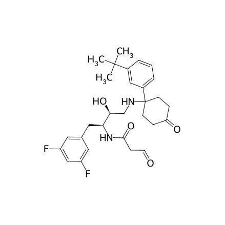 CC(C)(C)c1cccc(C2(NC[C@H](O)[C@H](Cc3cc(F)cc(F)c3)NC(=O)CC=O)CCC(=O)CC2)c1